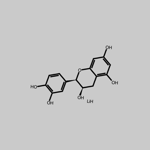 Oc1cc(O)c2c(c1)O[C@H](c1ccc(O)c(O)c1)[C@H](O)C2.[LiH]